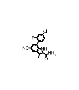 Cc1c(C(N)=O)[nH]c2c(-c3ccc(Cl)cc3F)cc(C#N)cc12